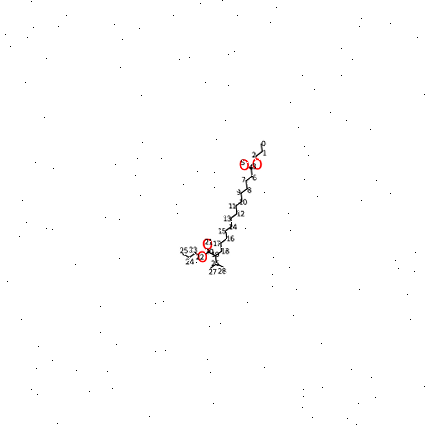 CCCOC(=O)CCCCCCCCCCCCCC(C(=O)OCCC)C(C)C